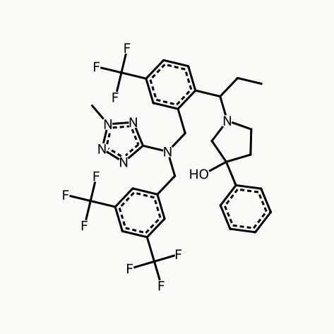 CCC(c1ccc(C(F)(F)F)cc1CN(Cc1cc(C(F)(F)F)cc(C(F)(F)F)c1)c1nnn(C)n1)N1CCC(O)(c2ccccc2)C1